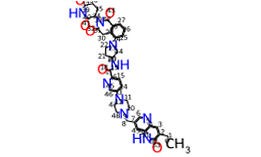 CCc1cc2ncc(CN3CCN(c4ccc(C(=O)N[C@@H]5CCN(c6cccc7c6CC(=O)N(C6CCC(=O)NC6=O)C7=O)C5)nc4)CC3)cc2[nH]c1=O